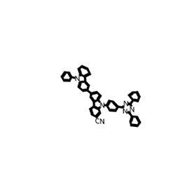 N#Cc1ccc2c3cc(-c4ccc5c(c4)c4ccccc4n5-c4ccccc4)ccc3n(-c3ccc(-c4nc(-c5ccccc5)nc(-c5ccccc5)n4)cc3)c2c1